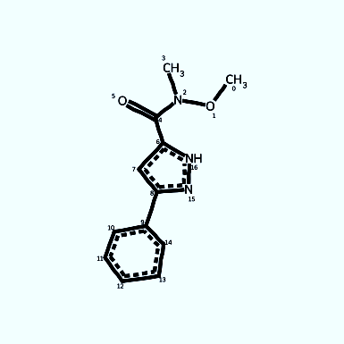 CON(C)C(=O)c1cc(-c2ccccc2)n[nH]1